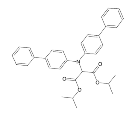 CC(C)OC(=O)C(C(=O)OC(C)C)N(c1ccc(-c2ccccc2)cc1)c1ccc(-c2ccccc2)cc1